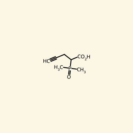 C#CCC(C(=O)O)P(C)(C)=O